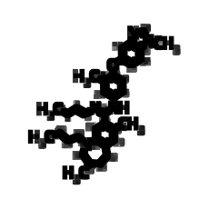 CC/C=C/N=C(/Nc1ccc(Oc2ccc3c(c2)ncn3C)c(C)c1)c1cc2c(cc1C)CCC(C)CN2CCCC